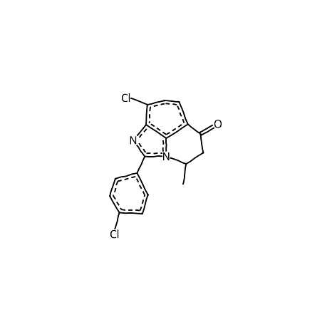 CC1CC(=O)c2ccc(Cl)c3nc(-c4ccc(Cl)cc4)n1c23